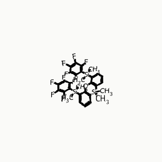 C[Si]1(C)c2cccc([Si](C)(C)c3c(F)c(F)c(F)c(F)c3F)c2Oc2c1cccc2[Si](C)(C)c1c(F)c(F)c(F)c(F)c1F